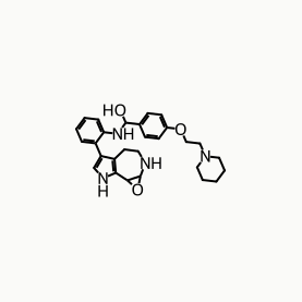 OC(Nc1ccccc1-c1c[nH]c2c1CCNC1OC21)c1ccc(OCCN2CCCCC2)cc1